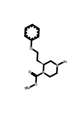 CC(=O)N1CCN(C(=O)OC(C)(C)C)[C@@H](CCOc2ccccc2)C1